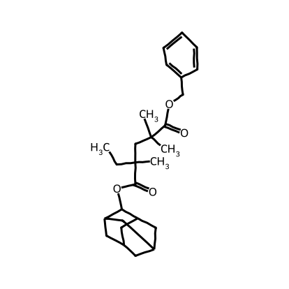 CCC(C)(CC(C)(C)C(=O)OCc1ccccc1)C(=O)OC1C2CC3CC(C2)CC1C3